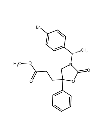 COC(=O)CCC1(c2ccccc2)CN([C@@H](C)c2ccc(Br)cc2)C(=O)O1